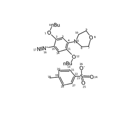 CCCCOc1cc(N2CCOCC2)c(OCCCC)cc1[N+]#N.Cc1ccc(S(=O)(=O)[O-])cc1